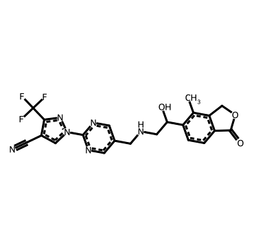 Cc1c(C(O)CNCc2cnc(-n3cc(C#N)c(C(F)(F)F)n3)nc2)ccc2c1COC2=O